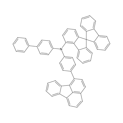 c1ccc(-c2ccc(N(c3ccc(-c4ccc5cccc6c5c4-c4ccccc4-6)cc3)c3cccc4c3-c3ccccc3C43c4ccccc4-c4ccccc43)cc2)cc1